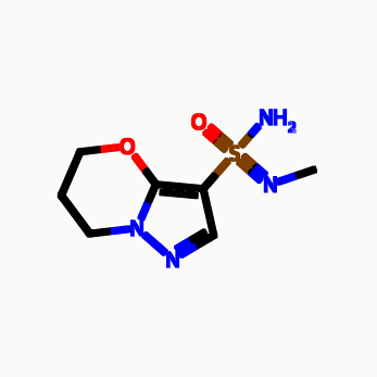 CN=S(N)(=O)c1cnn2c1OCCC2